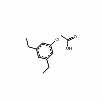 CC(=O)O.CCc1cc(Cl)cc(CC)c1